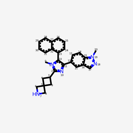 Cn1c(C2CC3(CNC3)C2)nc(-c2ccc3c(cnn3C)c2)c1-c1cccc2ccccc12